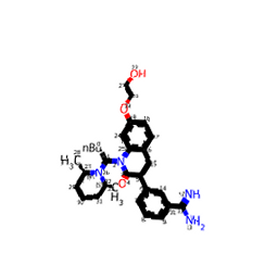 CCCCC(N1C(=O)C(c2cccc(C(=N)N)c2)Cc2ccc(OCCO)cc21)N1[C@H](C)CCC[C@@H]1C